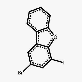 Brc1cc(I)c2oc3ccccc3c2c1